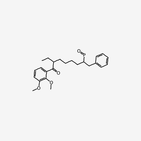 CCC(CCCCC(Cc1ccccc1)P=O)C(=O)c1cccc(OC)c1OC